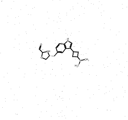 CN(C)C1CC(c2c[nH]c3ccc(C[C@@H]4COC(C=O)N4)cc23)C1